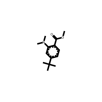 COC(=O)c1ccc(C(C)(C)C)cc1N(C)C